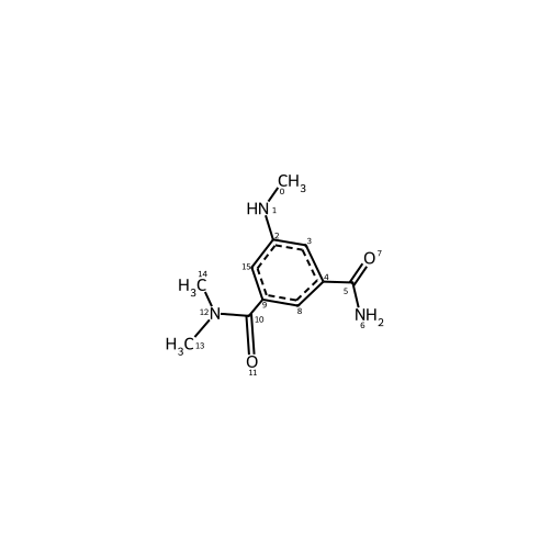 CNc1cc(C(N)=O)cc(C(=O)N(C)C)c1